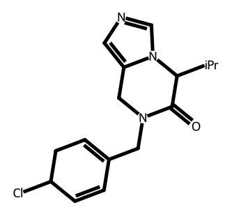 CC(C)C1C(=O)N(CC2=CCC(Cl)C=C2)Cc2cncn21